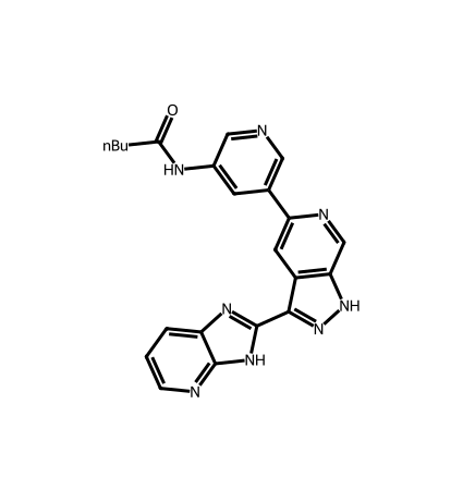 CCCCC(=O)Nc1cncc(-c2cc3c(-c4nc5cccnc5[nH]4)n[nH]c3cn2)c1